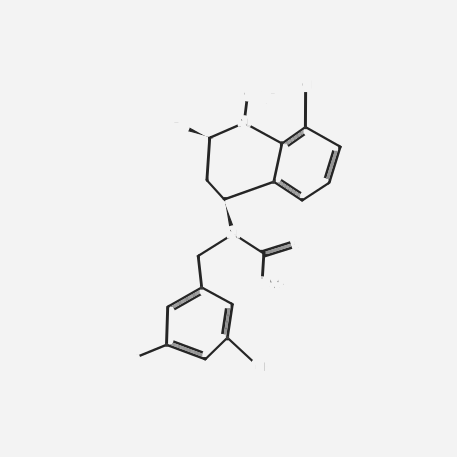 CCOC(=O)N1c2c(cccc2C(F)(F)F)[C@@H](N(Cc2cc(C(F)(F)F)cc(C(F)(F)F)c2)C(=O)OC)C[C@H]1CC